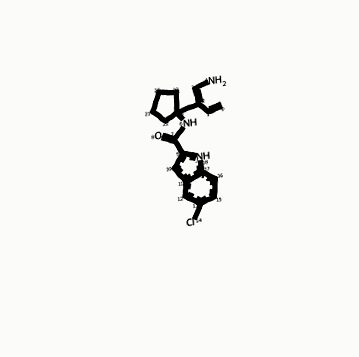 C=C/C(=C\N)C1(NC(=O)c2cc3cc(Cl)ccc3[nH]2)CCCC1